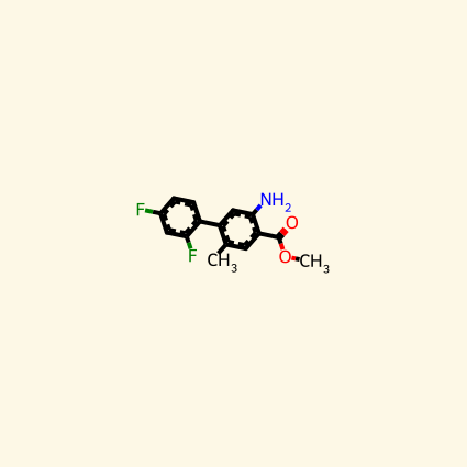 COC(=O)c1cc(C)c(-c2ccc(F)cc2F)cc1N